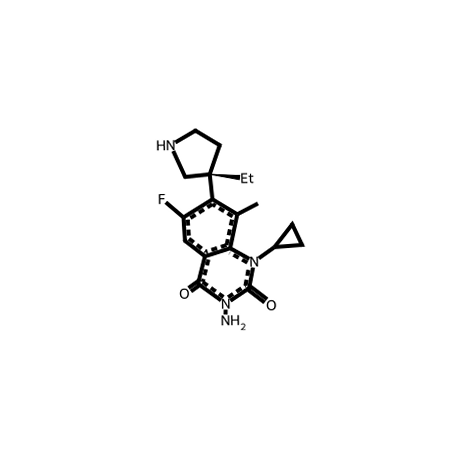 CC[C@]1(c2c(F)cc3c(=O)n(N)c(=O)n(C4CC4)c3c2C)CCNC1